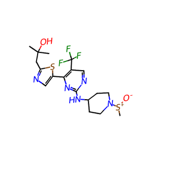 C[S+]([O-])N1CCC(Nc2ncc(C(F)(F)F)c(-c3cnc(CC(C)(C)O)s3)n2)CC1